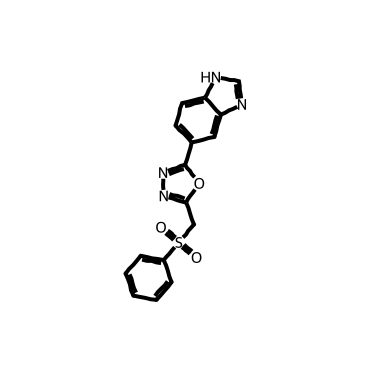 O=S(=O)(Cc1nnc(-c2ccc3[nH]cnc3c2)o1)c1ccccc1